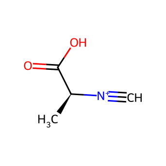 C#[N+][C@@H](C)C(=O)O